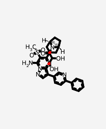 CS(=O)(=O)c1c(C2C[C@H]3CC[C@@H](C2)N3C(=O)C(O)CO)nc2c(-c3ccc(-c4ccccc4)nc3)cnn2c1N